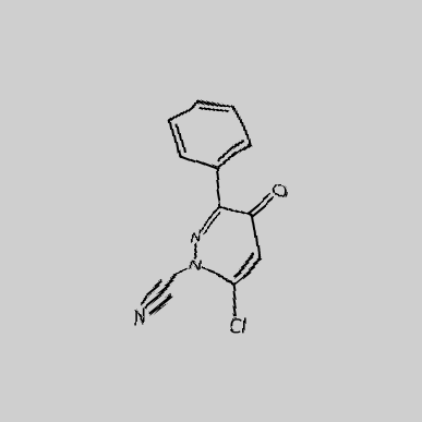 N#Cn1nc(-c2ccccc2)c(=O)cc1Cl